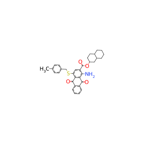 Cc1ccc(CSc2cc(C(=O)OC3CCC4CCCCC4C3)c(N)c3c2C(=O)c2ccccc2C3=O)cc1